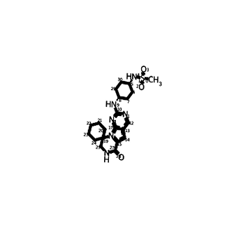 CS(=O)(=O)N[C@H]1CC[C@H](Nc2ncc3cc4n(c3n2)C2(CCCCC2)CNC4=O)CC1